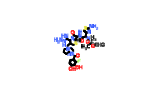 CC(C)(OC=O)O/N=C(\C(=O)N[C@@H]1C(=O)N2C(C(=N)NN)=C(C[N+]3(CCNC(=O)c4ccc(O)c(O)c4F)CCCC3)CS[C@H]12)c1csc(N)n1